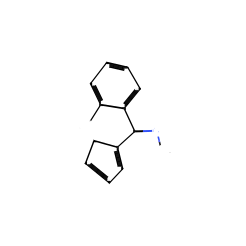 CC(C)(C)NC(C1=CC=CC1)c1ccccc1[SiH3]